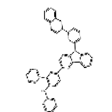 c1ccc(Nc2ccc(-c3ccc4c(c3)c3ccccc3n4-c3cccc(-c4ccc5ccccc5c4)c3)cc2-c2ccccc2)cc1